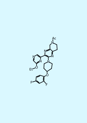 CCOc1cncc(-c2nc3c(nc2N2CCC(Oc4ccc(F)cc4F)CC2)CCN(C(C)=O)C3)n1